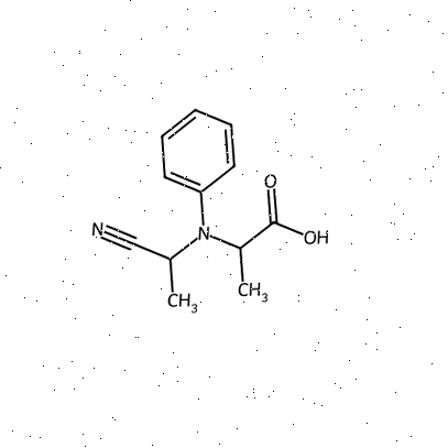 CC(C#N)N(c1ccccc1)C(C)C(=O)O